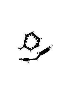 Cc1ccccc1.N#CCC#N